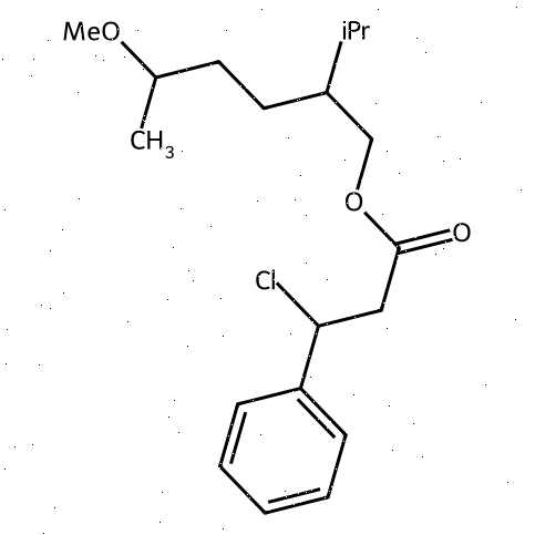 COC(C)CCC(COC(=O)CC(Cl)c1ccccc1)C(C)C